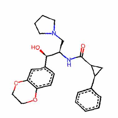 O=C(N[C@H](CN1CCCC1)[C@H](O)c1ccc2c(c1)OCCO2)C1CC1c1ccccc1